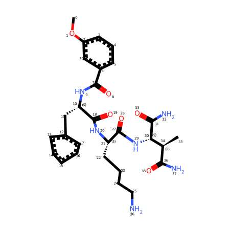 COc1cccc(C(=O)N[C@@H](Cc2ccccc2)C(=O)N[C@@H](CCCCN)C(=O)N[C@H](C(N)=O)[C@@H](C)C(N)=O)c1